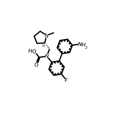 CN1CCC[C@H]1CN(C(=O)O)c1ccc(F)cc1-c1cccc(N)c1